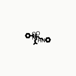 CC(C)=CCC1(CCCNc2ccccc2)N=C(c2ccccc2)OC1=O